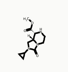 COC(=O)[C@@H]1NCCN2C(=O)N(C3CC3)C[C@H]12